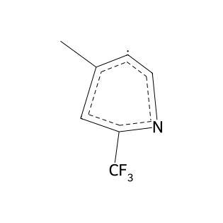 Cc1[c]cnc(C(F)(F)F)c1